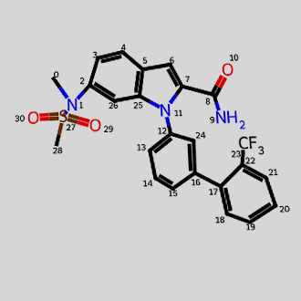 CN(c1ccc2cc(C(N)=O)n(-c3cccc(-c4ccccc4C(F)(F)F)c3)c2c1)S(C)(=O)=O